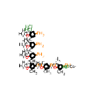 COc1c(C)cc(P)cc1C.COc1c(C)cc(P)cc1C.COc1c(C)cc(P)cc1C.COc1c(C)cc(P)cc1C.COc1c(C)cc(P)cc1C.COc1c(C)cc(P)cc1C.Cl.Cl.Cl.Cl.[Co]